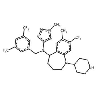 Cc1cc2c(cc1C(F)(F)F)N(C1CCNCC1)CCCC2N(Cc1cc(C(F)(F)F)cc(C(F)(F)F)c1)c1nnn(C)n1